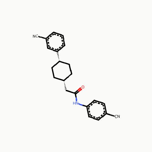 N#Cc1ccc(NC(=O)C[C@H]2CC[C@@H](c3cccc(C#N)c3)CC2)cc1